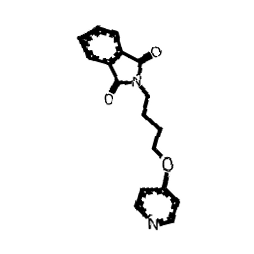 O=C1c2ccccc2C(=O)N1CCCCOc1ccncc1